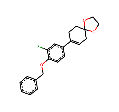 Fc1cc(C2=CCC3(CC2)OCCO3)ccc1OCc1ccccc1